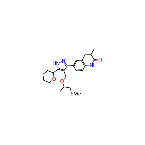 CSCC(C)OCc1c(-c2ccc3c(c2)CC(C)C(=O)N3)n[nH]c1C1CCCCO1